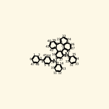 c1ccc(-c2ccc(N(c3ccccc3)c3cc4c5c6c7c(cccc7ccc6n(-c6ccccc6)c5c3)-c3ccccc3-4)cc2)cc1